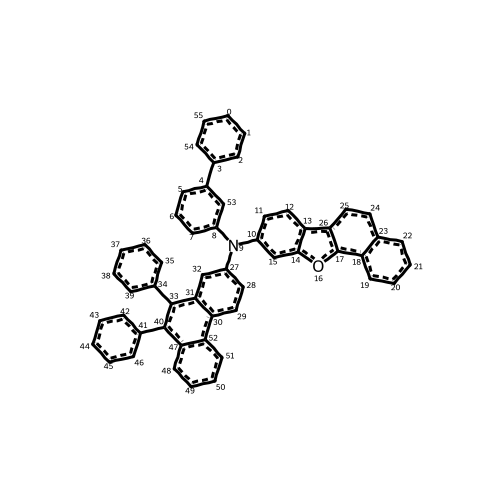 c1ccc(-c2cccc(N(c3ccc4c(c3)oc3c5ccccc5ccc43)c3ccc4c(c3)c(-c3ccccc3)c(-c3ccccc3)c3ccccc34)c2)cc1